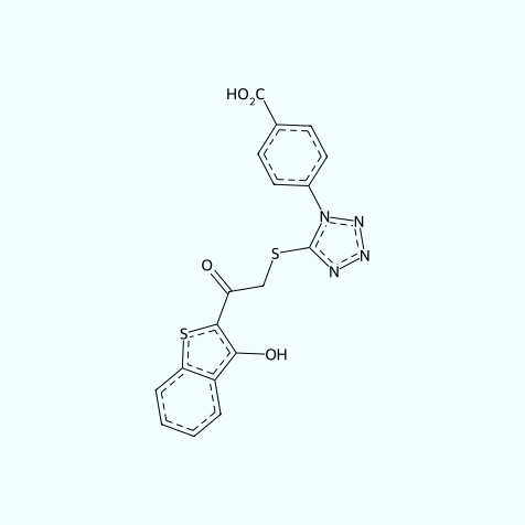 O=C(O)c1ccc(-n2nnnc2SCC(=O)c2sc3ccccc3c2O)cc1